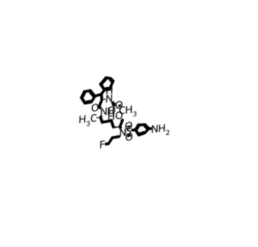 COC(=O)N[C@H](C(=O)N[C@@H](C)CCC[C@@H](CO)N(CCCF)S(=O)(=O)c1ccc(N)cc1)C(c1ccccc1)c1ccccc1